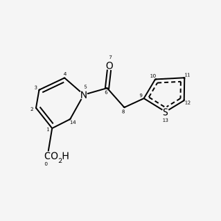 O=C(O)C1=CC=CN(C(=O)Cc2cccs2)C1